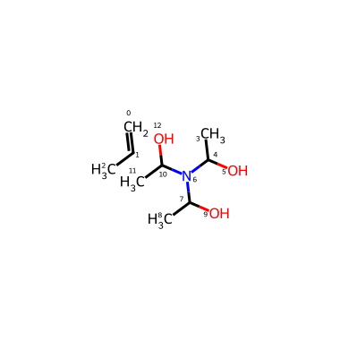 C=CC.CC(O)N(C(C)O)C(C)O